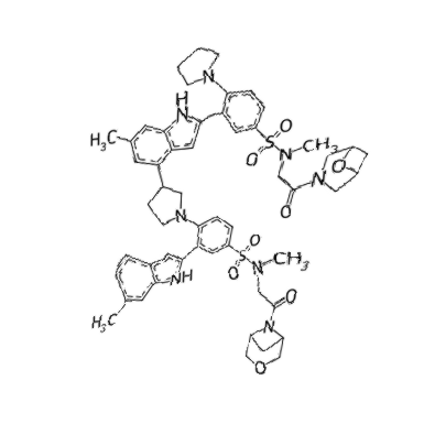 Cc1ccc2cc(-c3cc(S(=O)(=O)N(C)CC(=O)N4C5COCC4C5)ccc3N3CCC(c4cc(C)cc5[nH]c(-c6cc(S(=O)(=O)N(C)CC(=O)N7CC8CC(C7)O8)ccc6N6CCCC6)cc45)C3)[nH]c2c1